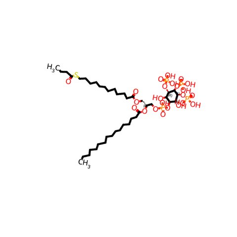 CCCCCCCCCCCCCCCC(=O)O[C@H](COC(=O)CCCCCCCCCCCSC(=O)CCC)COP(=O)(O)OC1C(O)[C@@H](OP(=O)(O)O)C(OP(=O)(O)O)[C@@H](OP(=O)(O)O)[C@H]1O